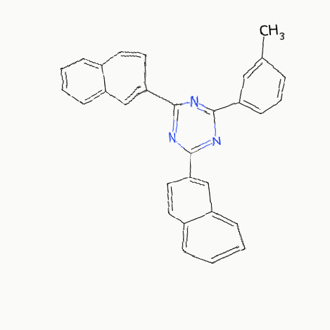 Cc1cccc(-c2nc(-c3ccc4ccccc4c3)nc(-c3ccc4ccccc4c3)n2)c1